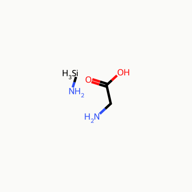 NCC(=O)O.N[SiH3]